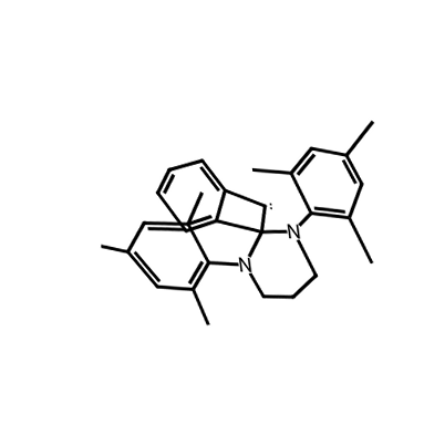 Cc1cc(C)c(N2CCCN(c3c(C)cc(C)cc3C)C23[C]c2ccccc23)c(C)c1